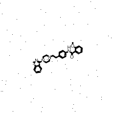 COc1ccccc1C(=O)Nc1ccc(CCN2CCN(c3nsc4ccccc34)CC2)cc1